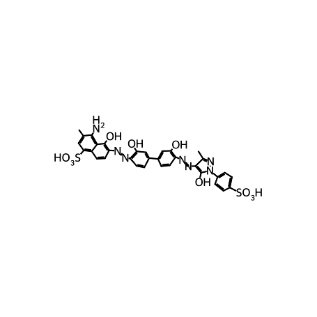 Cc1cc(S(=O)(=O)O)c2ccc(N=Nc3ccc(-c4ccc(N=Nc5c(C)nn(-c6ccc(S(=O)(=O)O)cc6)c5O)c(O)c4)cc3O)c(O)c2c1N